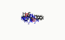 Cc1nc(N2CCC3(CC2)Cc2ccccc2[C@H]3N)c(C(N)=O)nc1C(=O)N1CCCn2nccc21